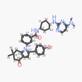 CN(C)c1ccnc(N[C@H]2CC[C@@H](NC(=O)c3cccc(-n4c(-c5ccc(Br)cc5)cc5c4CC(C)(C)CC5=O)c3)CC2)n1